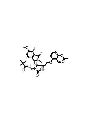 C=Cc1c(OC[C@H](C)[C@]2(CN3Cc4ccc(OC)c(F)c4C3=O)NC(=O)N(COC(=O)C(C)(C)C)C2=O)ccnc1OC(C)=O